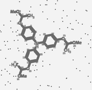 COC(C)Oc1ccc([SiH](c2ccc(OC(C)OC)cc2)c2ccc(OC(C)OC)cc2)cc1